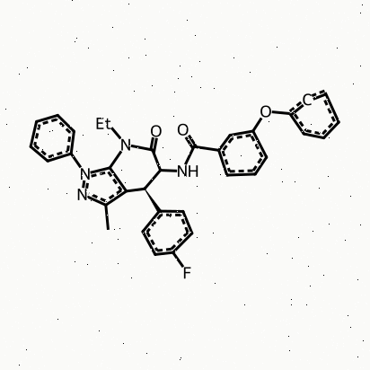 CCN1C(=O)C(NC(=O)c2cccc(Oc3ccccc3)c2)[C@@H](c2ccc(F)cc2)c2c(C)nn(-c3ccccc3)c21